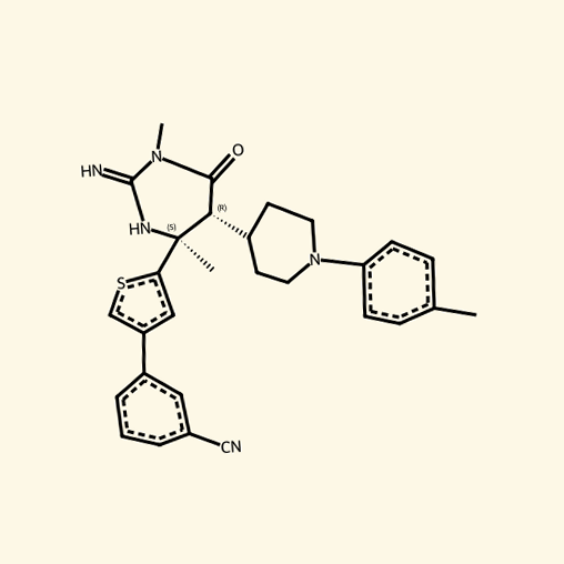 Cc1ccc(N2CCC([C@H]3C(=O)N(C)C(=N)N[C@]3(C)c3cc(-c4cccc(C#N)c4)cs3)CC2)cc1